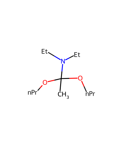 CCCOC(C)(OCCC)N(CC)CC